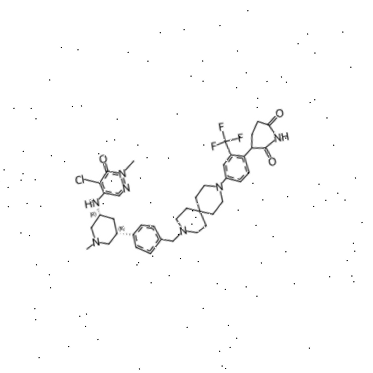 CN1C[C@H](Nc2cnn(C)c(=O)c2Cl)C[C@H](c2ccc(CN3CCC4(CC3)CCN(c3ccc(C5CCC(=O)NC5=O)c(C(F)(F)F)c3)CC4)cc2)C1